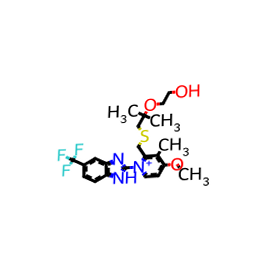 COc1cc[n+](-c2nc3cc(C(F)(F)F)ccc3[nH]2)c(CSCC(C)(C)OCCO)c1C